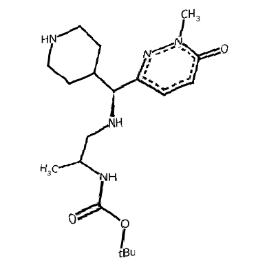 CC(CN[C@H](c1ccc(=O)n(C)n1)C1CCNCC1)NC(=O)OC(C)(C)C